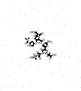 C[C@@H](O)[C@H]1C(=O)N2C(C(=O)O)=C(S[C@@H]3CN[C@H](C(=O)N(C)C)C3)[C@H](C)[C@H]12.C[C@H]1[C@H](NC(=O)/C(=N\OC(C)(C)C(=O)O)c2csc(N)n2)C(=O)N1S(=O)(=O)O